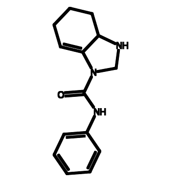 O=C(Nc1ccccc1)N1CNC2CCCC=C21